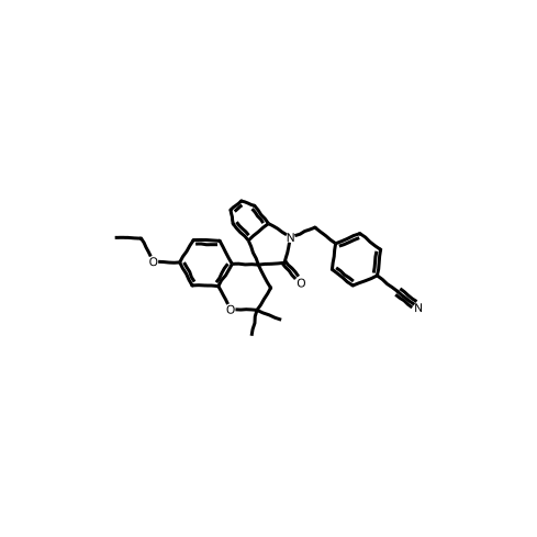 CCOc1ccc2c(c1)OC(C)(C)CC21C(=O)N(Cc2ccc(C#N)cc2)c2ccccc21